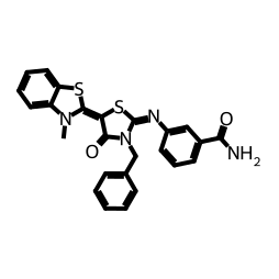 CN1C(=C2SC(=Nc3cccc(C(N)=O)c3)N(Cc3ccccc3)C2=O)Sc2ccccc21